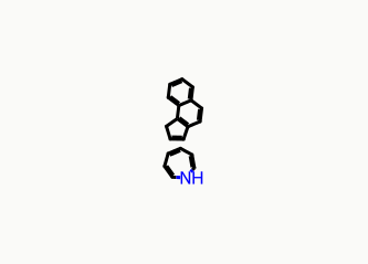 C1=CC=CNC=C1.C1=Cc2ccc3ccccc3c2C1